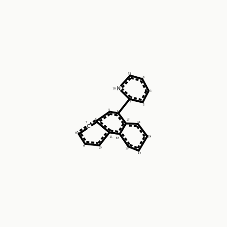 c1ccc(-c2cc3ccccc3c3ccccc23)nc1